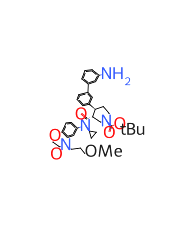 COCCCN1C(=O)COc2ccc(N(C(=O)[C@H]3CN(C(=O)OC(C)(C)C)CC[C@@H]3c3cccc(-c4cccc(N)c4)c3)C3CC3)cc21